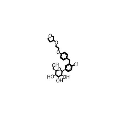 OC[C@H]1O[C@@H](c2ccc(Cl)c(Cc3ccc(OCCOC4CCOC4)cc3)c2)[C@H](O)[C@@H](O)[C@@H]1O